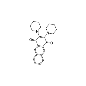 O=C1C(N2CCCCC2)=C(N2CCCCC2)C(=O)c2cc3ccccc3cc21